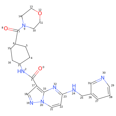 O=C(NC1CCC(C(=O)N2CCOCC2)CC1)c1cnn2ccc(NCc3cccnc3)nc12